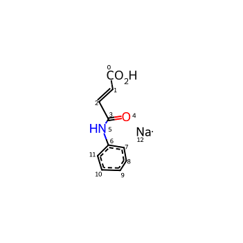 O=C(O)C=CC(=O)Nc1ccccc1.[Na]